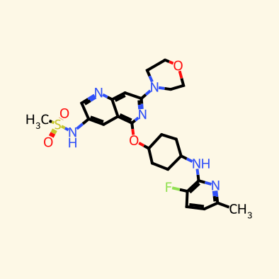 Cc1ccc(F)c(NC2CCC(Oc3nc(N4CCOCC4)cc4ncc(NS(C)(=O)=O)cc34)CC2)n1